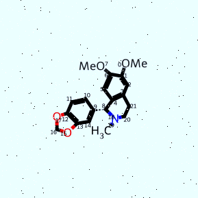 COc1cc2c(cc1OC)[C@@H](c1ccc3c(c1)OCO3)N(C)CC2